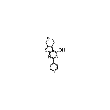 Oc1nc(-c2ccncc2)nc2sc3c(c12)CCSC3